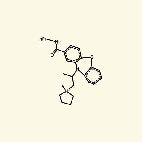 CCCNC(=O)c1ccc2c(c1)N(C(C)C[N+]1(C)CCCC1)c1ccccc1S2